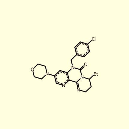 CCC1CCN=C2c3ncc(N4CCOCC4)cc3N(Cc3ccc(Cl)cc3)C(=O)N21